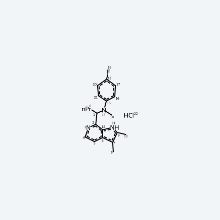 CCCC(c1nccc2c(C)c(C)[nH]c12)N(C)c1ccc(F)cc1.Cl